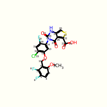 COc1ccc(F)c(F)c1COc1cc(-n2c(=O)[nH]c3csc(C(=O)O)c3c2=O)c(F)cc1Cl